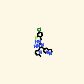 Cc1cccc(-c2[nH]c(NCc3ccc(Cl)cc3F)nc2C2=CC3CC=NN3C=C2)n1